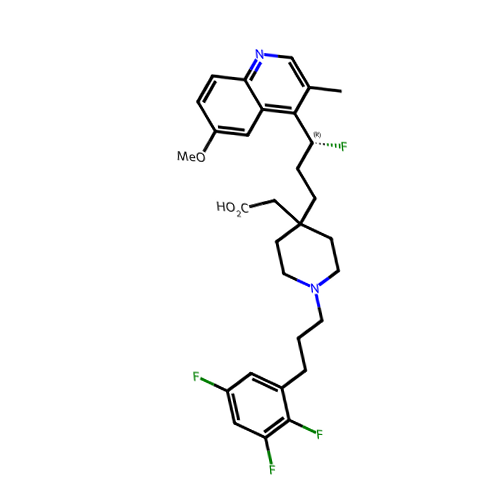 COc1ccc2ncc(C)c([C@H](F)CCC3(CC(=O)O)CCN(CCCc4cc(F)cc(F)c4F)CC3)c2c1